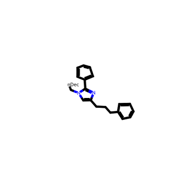 CCCCCCCCCCCn1cc(CCCc2ccccc2)nc1-c1ccccc1